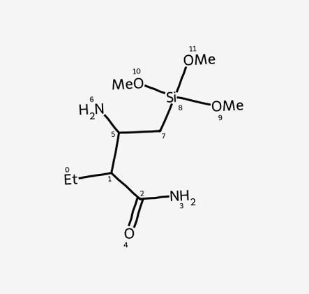 CCC(C(N)=O)C(N)C[Si](OC)(OC)OC